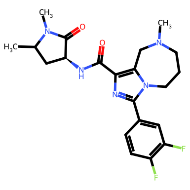 CC1C[C@H](NC(=O)c2nc(-c3ccc(F)c(F)c3)n3c2CN(C)CCC3)C(=O)N1C